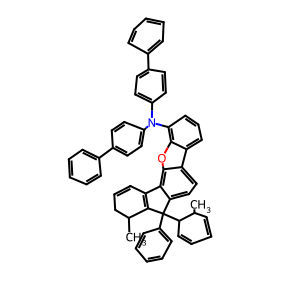 CC1CC=CC2=C1C(c1ccccc1)(C1C=CC=CC1C)c1ccc3c(oc4c(N(c5ccc(-c6ccccc6)cc5)c5ccc(-c6ccccc6)cc5)cccc43)c12